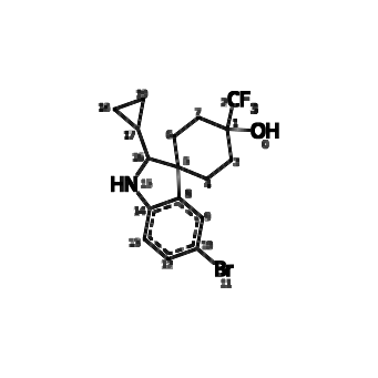 OC1(C(F)(F)F)CCC2(CC1)c1cc(Br)ccc1NC2C1CC1